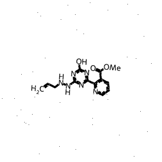 C=CCNNc1nc(O)nc(-c2ncccc2C(=O)OC)n1